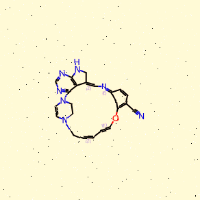 N#CC1=C2C/C(=N\C=C3/CNc4ncnc(c43)N3C=CN(C/C=C\C=C\O2)CC3)C=C1